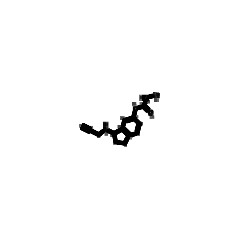 C#CCNC1CCc2ccc(OC(=O)NCC)cc21